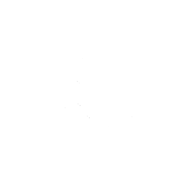 Cc1ccccc1/C=N/N(C)c1nc(-c2cccc(Cl)c2)cs1